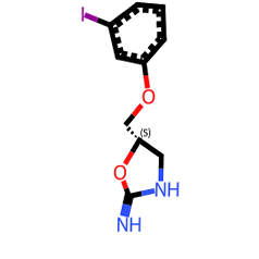 N=C1NC[C@@H](COc2cccc(I)c2)O1